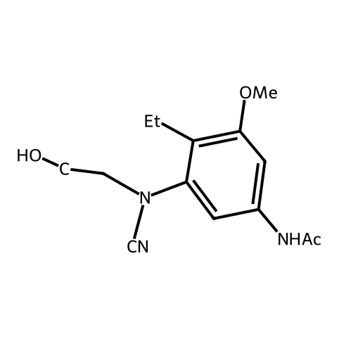 CCc1c(OC)cc(NC(C)=O)cc1N(C#N)CCO